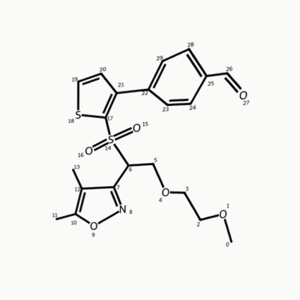 COCCOCC(c1noc(C)c1C)S(=O)(=O)c1sccc1-c1ccc(C=O)cc1